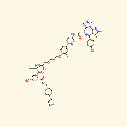 CC1=NC2=C(C(c3ccc(Cl)cc3)=NC(CC(=O)Nc3ccc(-c4ccc(OCCCOCC(=O)NC(C(=O)N5C[C@H](O)C[C@H]5C(=O)CCc5ccc(C6=C(C)N=CC6)cc5)C(C)(C)C)c(C)c4)nc3)c3nnc(C)n32)C1C